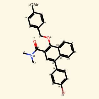 COc1ccc(COc2c(C(=O)N(C)C)cc(-c3ccc(Br)cc3)c3ccccc23)cc1